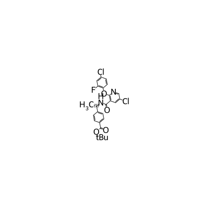 C[C@H](NC(=O)c1cc(Cl)cnc1Oc1ccc(Cl)cc1F)c1ccc(C(=O)OC(C)(C)C)cc1